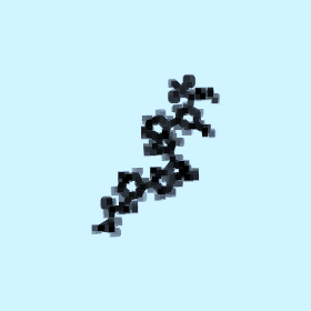 CS(=O)(=O)C(N)c1cc(F)cc(-c2ccnc3[nH]c(-c4n[nH]c5ccc(-c6cncc(NC(=O)C7CC7)c6)nc45)cc23)c1